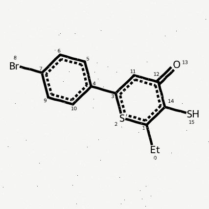 CCc1sc(-c2ccc(Br)cc2)cc(=O)c1S